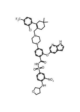 CC1(C)CCC(CN2CCN(c3ccc(C(=O)NS(=O)(=O)c4ccc(NC5CCOC5)c([N+](=O)[O-])c4)c(Oc4cnc5[nH]ccc5c4)c3)CC2)=C(c2ccc(C(F)(F)F)cc2Cl)C1